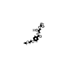 C=COCCOc1ccc(C(=O)OCC(O)COC(=O)C(C)C)cc1